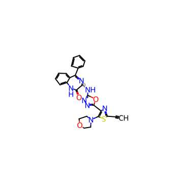 C#Cc1nc(-c2nnc(N[C@H]3N=C(c4ccccc4)c4ccccc4NC3=O)o2)c(N2CCOCC2)s1